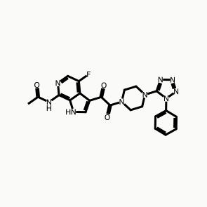 CC(=O)Nc1ncc(F)c2c(C(=O)C(=O)N3CCN(c4nnnn4-c4ccccc4)CC3)c[nH]c12